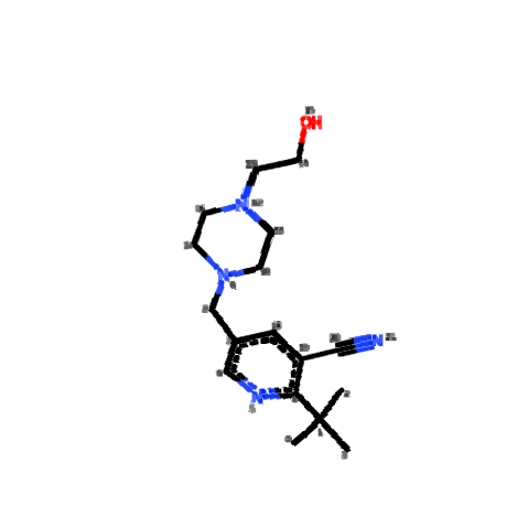 CC(C)(C)c1ncc(CN2CCN(CCO)CC2)cc1C#N